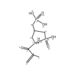 C=C(C)C(=O)NCC(CP(=O)(O)O)CP(=O)(O)O